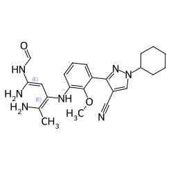 COc1c(NC(/C=C(\N)NC=O)=C(\C)N)cccc1-c1nn(C2CCCCC2)cc1C#N